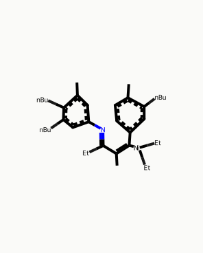 CCCCc1cc([C](=C(C)C(CC)=Nc2cc(C)c(CCCC)c(CCCC)c2)[Ni]([CH2]C)[CH2]C)ccc1C